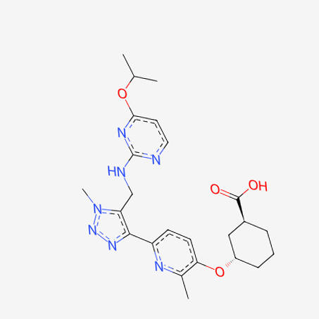 Cc1nc(-c2nnn(C)c2CNc2nccc(OC(C)C)n2)ccc1O[C@H]1CCC[C@H](C(=O)O)C1